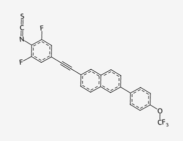 Fc1cc(C#Cc2ccc3cc(-c4ccc(OC(F)(F)F)cc4)ccc3c2)cc(F)c1N=C=S